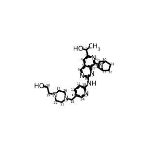 CC(O)c1cc2cnc(Nc3ccc(CN4CCN(CCO)CC4)cn3)nc2c(N2C3CCC2CC3)n1